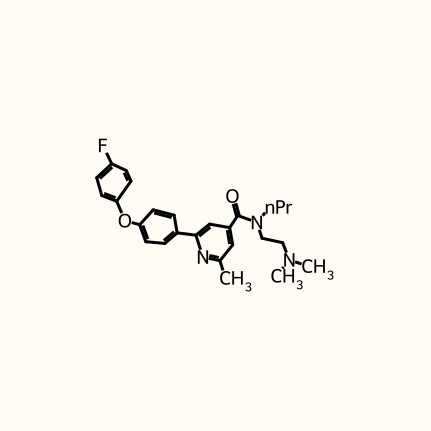 CCCN(CCN(C)C)C(=O)c1cc(C)nc(-c2ccc(Oc3ccc(F)cc3)cc2)c1